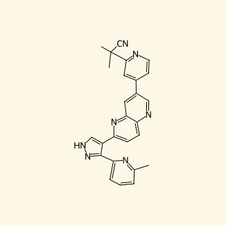 Cc1cccc(-c2n[nH]cc2-c2ccc3ncc(-c4ccnc(C(C)(C)C#N)c4)cc3n2)n1